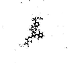 COC(=O)c1cccc(S(=O)(=O)Nc2nc(CCC(C)NC(=O)OC(C)(C)C)cc(-c3c(C)cccc3C)n2)c1